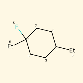 CCC1CCC(F)(CC)CC1